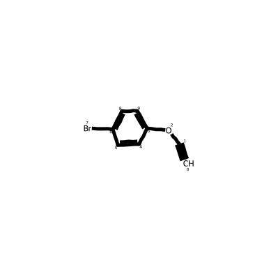 C#COc1ccc(Br)cc1